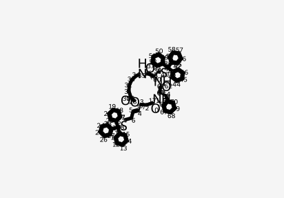 O=C1C[C@@H](C=CCCSC(c2ccccc2)(c2ccccc2)c2ccccc2)OC(=O)CCCCNC(=O)[C@@H](CSC(c2ccccc2)(c2ccccc2)c2ccccc2)NC(=O)[C@@H](Cc2ccccc2)N1